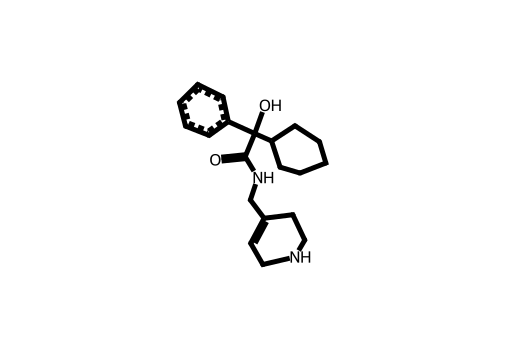 O=C(NCC1=CCNCC1)C(O)(c1ccccc1)C1CCCCC1